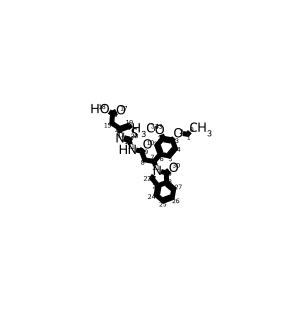 CCOc1ccc(C(CC(=O)Nc2nc(CC(=O)O)cs2)N2Cc3ccccc3C2=O)cc1OC